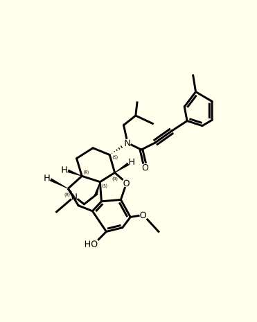 COc1cc(O)c2c3c1O[C@H]1[C@@H](N(CC(C)C)C(=O)C#Cc4cccc(C)c4)CC[C@H]4[C@@H](C2)N(C)CC[C@@]341